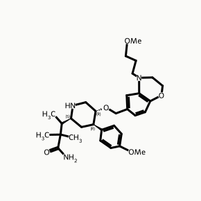 COCCCN1CCOc2ccc(CO[C@H]3CN[C@H](C(C)C(C)(C)C(N)=O)C[C@@H]3c3ccc(OC)cc3)cc21